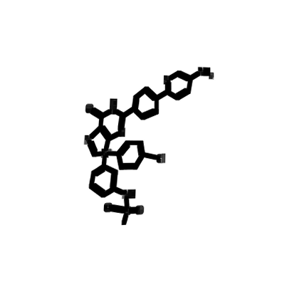 CS(=O)(=O)Nc1cccc([N+]2(c3ccc(Cl)cc3)C=Nc3c2nc(-c2ccc(-c4ccc(N)cn4)cc2)[nH]c3=O)c1